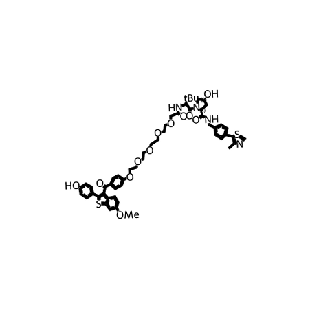 COc1ccc2c(C(=O)c3ccc(OCCOCCOCCOCCOCC(=O)NC(C(=O)N4C[C@H](O)C[C@H]4C(=O)NCc4ccc(-c5scnc5C)cc4)C(C)(C)C)cc3)c(-c3ccc(O)cc3)sc2c1